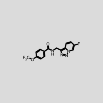 O=C(NCc1nnn2cc(F)ccc12)c1ccc(OC(F)(F)F)cc1